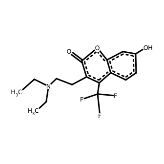 CCN(CC)CCc1c(C(F)(F)F)c2ccc(O)cc2oc1=O